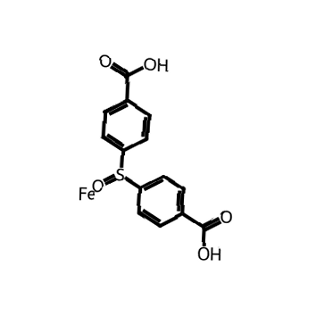 O=C(O)c1ccc(S(=O)c2ccc(C(=O)O)cc2)cc1.[Fe]